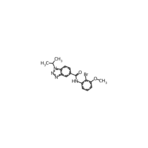 COc1cccc(NC(=O)c2ccc3c(c2)nnn3C(C)C)c1Br